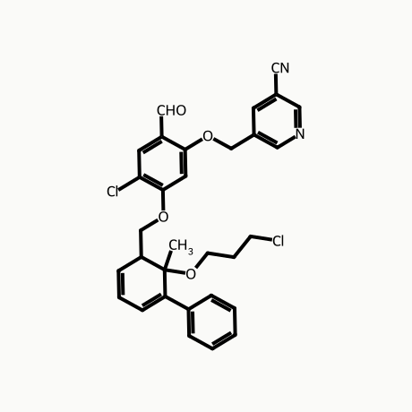 CC1(OCCCCl)C(c2ccccc2)=CC=CC1COc1cc(OCc2cncc(C#N)c2)c(C=O)cc1Cl